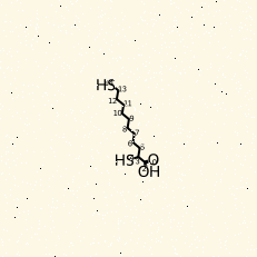 O=C(O)C(S)CCCCCCCCCS